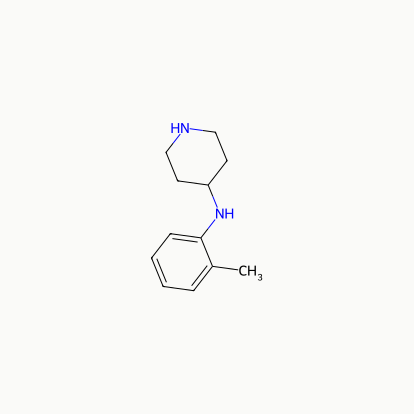 Cc1ccccc1NC1CCNCC1